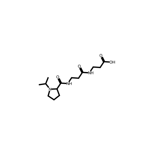 CC(C)N1CCCC1C(=O)NCCC(=O)NCCC(=O)O